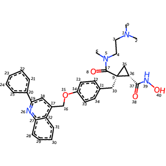 CN(C)CCN(C)C(=O)[C@@]1(Cc2ccc(OCc3cc(-c4ccccc4)nc4ccccc34)cc2)C[C@@H]1C(=O)NO